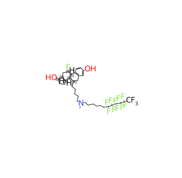 CN(CCCCCCC(F)(F)C(F)(F)C(F)(F)C(F)(F)C(F)(F)C(F)(F)F)CCCCC[C@@H]1Cc2cc(O)ccc2[C@@H]2[C@@H]1[C@@H]1CC[C@H](O)[C@@]1(C)C[C@@H]2F